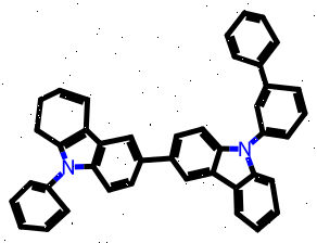 C1=Cc2c(n(-c3ccccc3)c3ccc(-c4ccc5c(c4)c4ccccc4n5-c4cccc(-c5ccccc5)c4)cc23)CC1